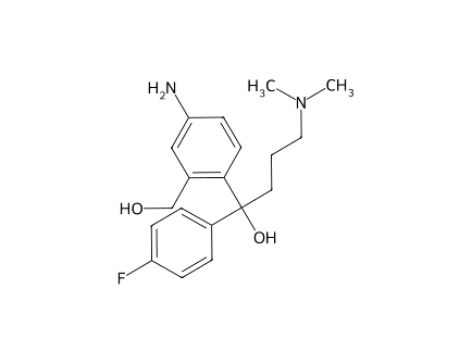 CN(C)CCCC(O)(c1ccc(F)cc1)c1ccc(N)cc1CO